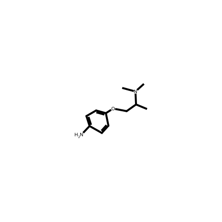 CC(COc1ccc(N)cc1)N(C)C